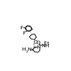 CCNC(=O)N1CCC[C@H](N)[C@@H]1CO[C@H]1CC[C@@H](c2cccc(F)c2F)CC1